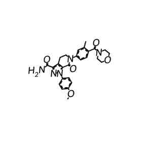 COc1ccc(-n2nc(C(N)=O)c3c2C(=O)N(c2ccc(C(=O)N4CCOCC4)c(C)c2)CC3)cc1